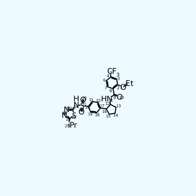 CCOc1cc(C(F)(F)F)ccc1C(=O)NC1CCCC1c1ccc(S(=O)(=O)Nc2nnc(C(C)C)s2)cc1